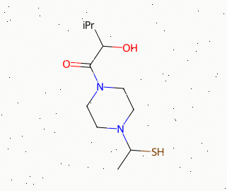 CC(C)C(O)C(=O)N1CCN(C(C)S)CC1